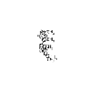 CCc1nnc(Nc2cc(-c3ccnc(N4CCn5c(cc6c5CC(C)(C)C6)C4=O)c3CC)cn(C)c2=O)s1